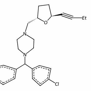 [CH2]CC#C[C@@H]1CC[C@@H](CN2CCN(C(c3ccccc3)c3ccc(Cl)cc3)CC2)O1